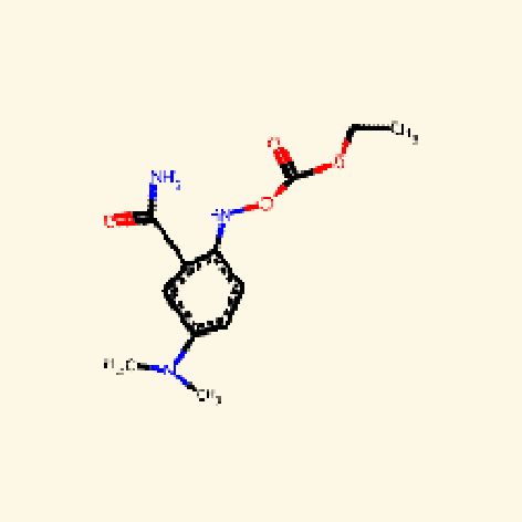 CCOC(=O)ONc1ccc(N(C)C)cc1C(N)=O